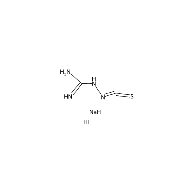 I.N=C(N)NN=C=S.[NaH]